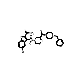 NC(=O)c1[nH]c2ccc(Br)cc2c1S(=O)(=O)N1CCOC(C(=O)N2CCN(Cc3ccccc3)CC2)C1